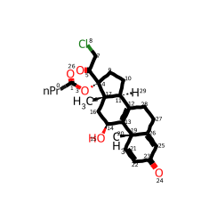 CCCC(=O)O[C@]1(C(=O)CCl)CC[C@H]2C3=C([C@@H](O)C[C@@]21C)[C@@]1(C)C=CC(=O)C=C1CC3